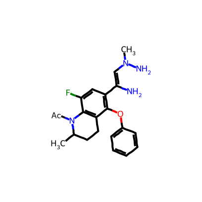 CC(=O)N1c2c(F)cc(/C(N)=C/N(C)N)c(Oc3ccccc3)c2CCC1C